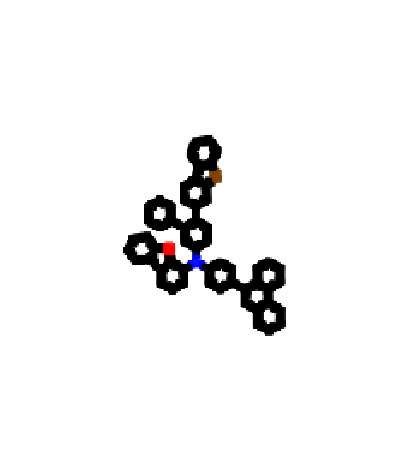 c1ccc(-c2cc(N(c3ccc(-c4cc5ccccc5c5ccccc45)cc3)c3cccc4c3oc3ccccc34)ccc2-c2ccc3c(c2)sc2ccccc23)cc1